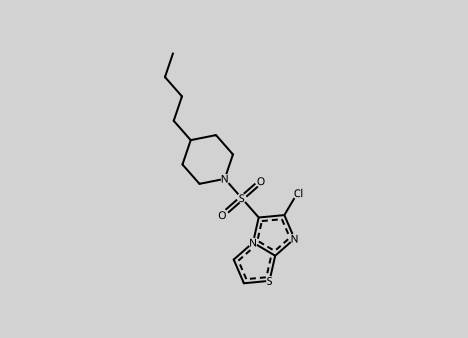 CCCCC1CCN(S(=O)(=O)c2c(Cl)nc3sccn23)CC1